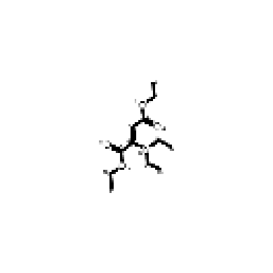 CCOC(=O)C=C(C(=O)OCC)N(CC)CC